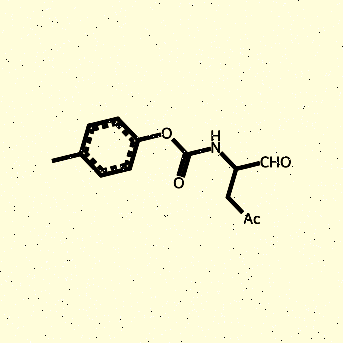 CC(=O)CC(C=O)NC(=O)Oc1ccc(C)cc1